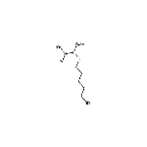 COP(OCCCCCC(C)C)N(C(C)C)C(C)C